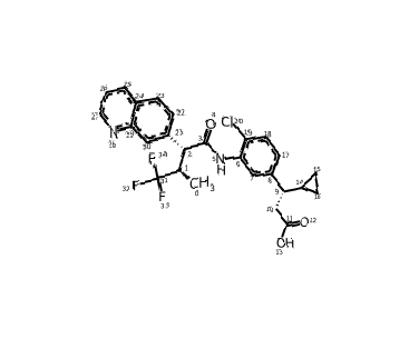 C[C@H]([C@@H](C(=O)Nc1cc([C@@H](CC(=O)O)C2CC2)ccc1Cl)c1ccc2cccnc2c1)C(F)(F)F